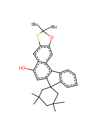 CC1(C)CC(C)(C)CC2(C1)c1ccccc1-c1c2cc(O)c2cc3c(cc12)OC(C(C)(C)C)(C(C)(C)C)S3